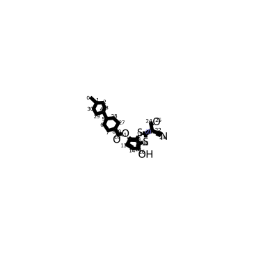 CC1CCC(C2CCC(C(=O)Oc3ccc(O)c4c3S/C(=C(/C#N)C=O)S4)CC2)CC1